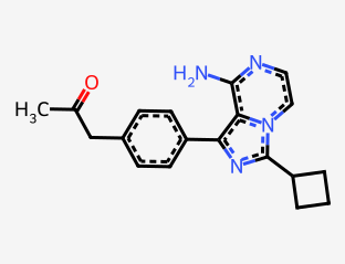 CC(=O)Cc1ccc(-c2nc(C3CCC3)n3ccnc(N)c23)cc1